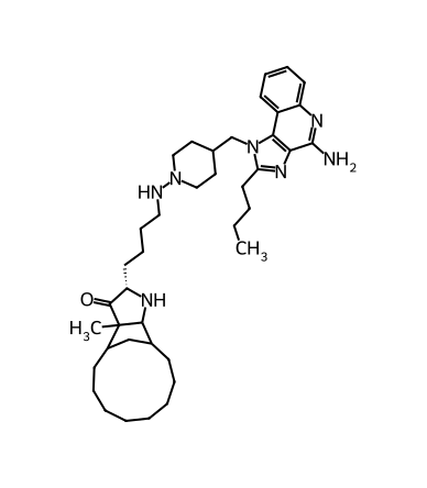 CCCCc1nc2c(N)nc3ccccc3c2n1CC1CCN(NCCCC[C@@H]2NC3C4CCCCCCCCC(C4)C3(C)C2=O)CC1